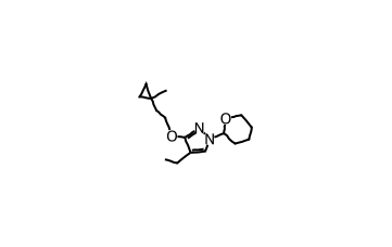 CCc1cn(C2CCCCO2)nc1OCCC1(C)CC1